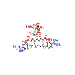 N=C(N)c1ccc(OCCCCCCOc2ccc(C(=N)N)cc2)cc1.O=C(O)CCCCCCCC(=O)O.O=S(=O)(O)CCO.O=S(=O)(O)CCO